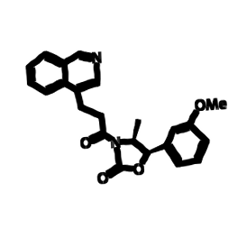 COc1cccc([C@H]2OC(=O)N(C(=O)CCc3cncc4ccccc34)[C@H]2C)c1